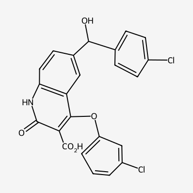 O=C(O)c1c(Oc2cccc(Cl)c2)c2cc(C(O)c3ccc(Cl)cc3)ccc2[nH]c1=O